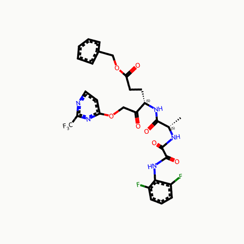 C[C@H](NC(=O)C(=O)Nc1c(F)cccc1F)C(=O)N[C@@H](CCC(=O)OCc1ccccc1)C(=O)COc1ccnc(C(F)(F)F)n1